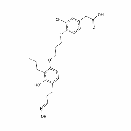 CCCc1c(OCCCSc2ccc(CC(=O)O)cc2Cl)ccc(CCC=NO)c1O